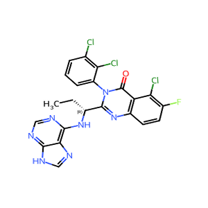 CC[C@@H](Nc1ncnc2[nH]cnc12)c1nc2ccc(F)c(Cl)c2c(=O)n1-c1cccc(Cl)c1Cl